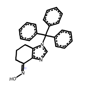 O/N=C1\CCCc2c1ncn2C(c1ccccc1)(c1ccccc1)c1ccccc1